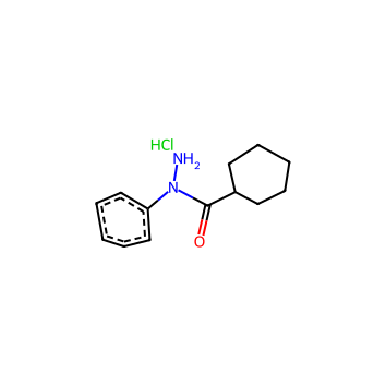 Cl.NN(C(=O)C1CCCCC1)c1ccccc1